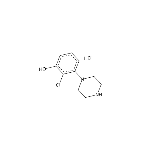 Cl.Oc1cccc(N2CCNCC2)c1Cl